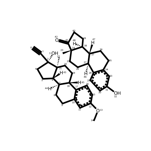 C#C[C@]1(O)CC[C@H]2[C@@H]3CCc4cc(OC)ccc4[C@H]3CC[C@@]21C.C[C@]12CC[C@@H]3c4ccc(O)cc4CC[C@H]3[C@@H]1CCC2=O